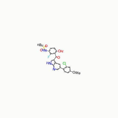 CCCCS(=O)(=O)Nc1ccc(O)c(C(=O)c2c[nH]c3ncc(-c4ccc(OC)cc4Cl)cc23)c1F